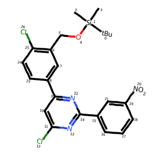 CC(C)(C)[Si](C)(C)OCc1cc(-c2cc(Cl)nc(-c3cccc([N+](=O)[O-])c3)n2)ccc1Cl